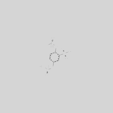 O=[PH](O)Oc1ccc(O[PH](=O)O)c(S(=O)(=O)O)c1